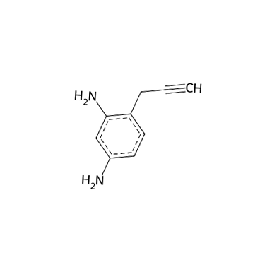 C#CCc1ccc(N)cc1N